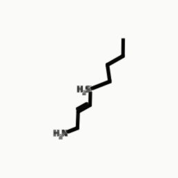 CCCC[SiH2]C=CCN